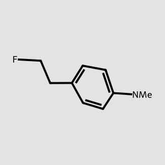 CNc1ccc(CCF)cc1